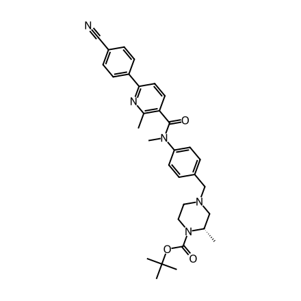 Cc1nc(-c2ccc(C#N)cc2)ccc1C(=O)N(C)c1ccc(CN2CCN(C(=O)OC(C)(C)C)[C@@H](C)C2)cc1